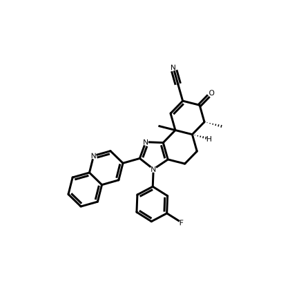 C[C@H]1C(=O)C(C#N)=CC2(C)c3nc(-c4cnc5ccccc5c4)n(-c4cccc(F)c4)c3CC[C@H]12